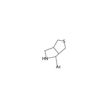 CC(=O)C1NCC2CSCC21